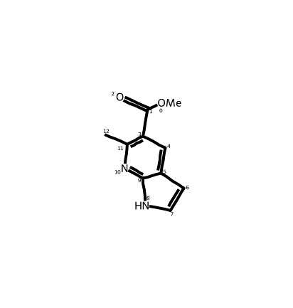 COC(=O)c1cc2cc[nH]c2nc1C